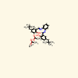 CC(=O)[O-].CC(=O)[O-].CC(C)(C)Cc1ccc(O)c(C=Nc2ccccc2N=Cc2cc(CC(C)(C)C)ccc2O)c1.[Co+2]